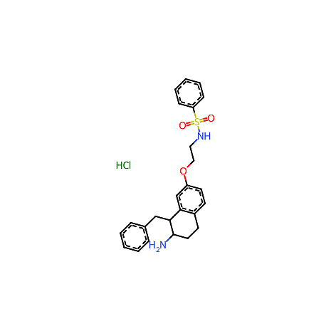 Cl.NC1CCc2ccc(OCCNS(=O)(=O)c3ccccc3)cc2C1Cc1ccccc1